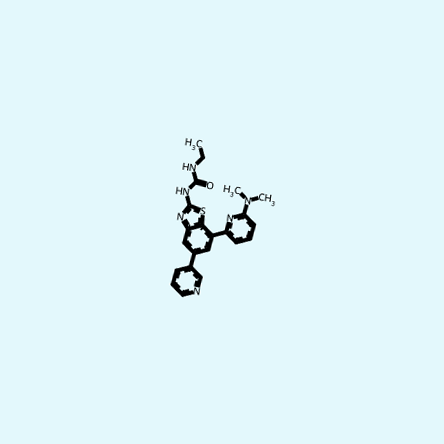 CCNC(=O)Nc1nc2cc(-c3cccnc3)cc(-c3cccc(N(C)C)n3)c2s1